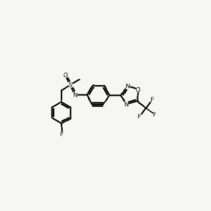 CS(=O)(Cc1ccc(F)cc1)=Nc1c#cc(-c2noc(C(F)(F)F)n2)cc1